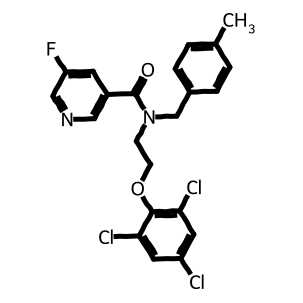 Cc1ccc(CN(CCOc2c(Cl)cc(Cl)cc2Cl)C(=O)c2cncc(F)c2)cc1